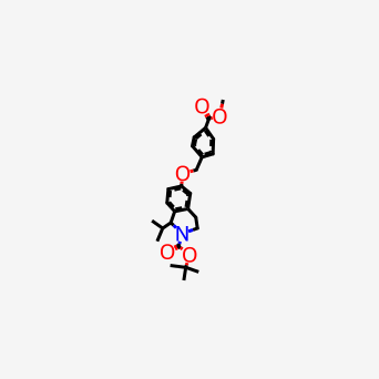 COC(=O)c1ccc(COc2ccc3c(c2)CCN(C(=O)OC(C)(C)C)C3C(C)C)cc1